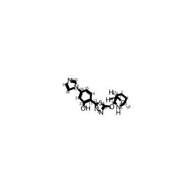 C[C@]12CC[C@H](CN1)[C@@H](Oc1nnc(-c3ccc(-n4ccnc4)cc3O)s1)C2